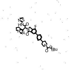 CC(C)(C)OC(=O)N1CCC(c2ccc(-c3cc(F)c4c(c3)C(=O)N(C(C(=O)Nc3nccs3)c3ncn5c3CCC5)C4)cc2)CC1